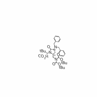 CC(C)(C)OC(=O)N(C[C@@H]1C[C@@H](N(Cc2ccccc2)Cc2ccccc2)C(=O)N1C(C(=O)O)C(C)(C)C)C(=O)OC(C)(C)C